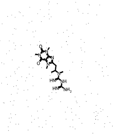 CC(Cc1nc2c(c(=O)n(C)c(=O)n2C)n1C)N(C)C(=N)NC(=N)N